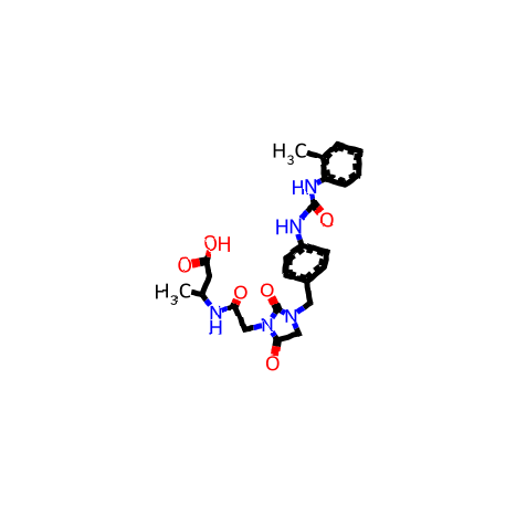 Cc1ccccc1NC(=O)Nc1ccc(CN2CC(=O)N(CC(=O)NC(C)CC(=O)O)C2=O)cc1